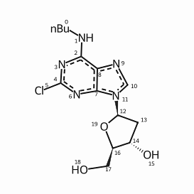 CCCCNc1nc(Cl)nc2c1ncn2[C@H]1C[C@H](O)[C@@H](CO)O1